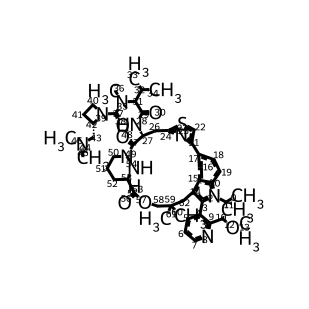 CCn1c(-c2cccnc2[C@H](C)OC)c2c3cc(ccc31)-c1csc(n1)C[C@H](NC(=O)C(C(C)C)N(C)C(=O)N1CC[C@H]1CN(C)C)C(=O)N1CCC[C@H](N1)C(=O)OCC(C)(C)C2